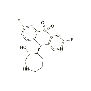 O=S1(=O)c2cc(F)ccc2N([C@H]2CCCNC[C@@H]2O)c2cnc(F)cc21